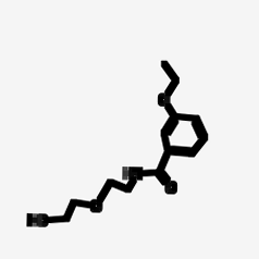 CCOc1cccc(C(=O)NCCOCCO)c1